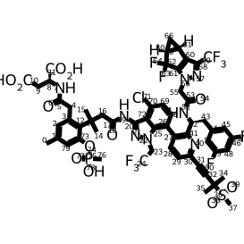 Cc1cc(CC(=O)N[C@@H](CC(=O)O)C(=O)O)c(C(C)(C)CC(=O)Nc2nn(CC(F)(F)F)c3c(-c4ccc(C#CC(C)(C)S(C)(=O)=O)nc4[C@H](Cc4cc(F)cc(F)c4)NC(=O)Cn4nc(C(F)(F)F)c5c4C(F)(F)[C@@H]4C[C@H]54)ccc(Cl)c23)c(OP(C)(=O)O)c1